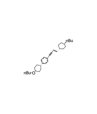 CCCCO[C@H]1CC[C@H](c2ccc(C#CC=C[C@H]3CC[C@H](CCCC)CC3)cc2)CC1